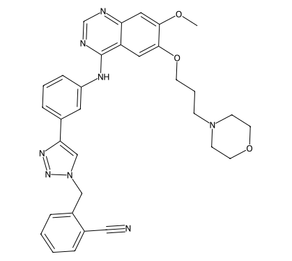 COc1cc2ncnc(Nc3cccc(-c4cn(Cc5ccccc5C#N)nn4)c3)c2cc1OCCCN1CCOCC1